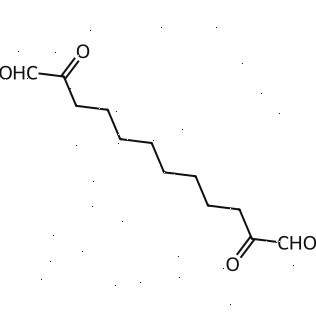 O=CC(=O)CCCCCCCCC(=O)C=O